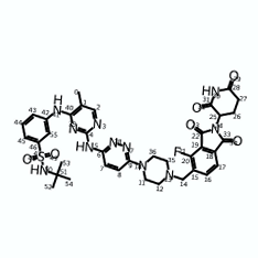 Cc1cnc(Nc2ccc(N3CCN(Cc4ccc5c(c4F)C(=O)N(C4CCC(=O)NC4=O)C5=O)CC3)nn2)nc1Nc1cccc(S(=O)(=O)NC(C)(C)C)c1